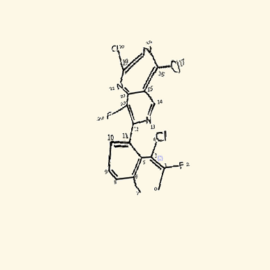 C/C(F)=C(/Cl)c1c(C)cccc1-c1ncc2c(Cl)nc(Cl)nc2c1F